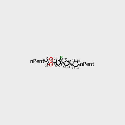 CCCCCC1COC(c2ccc(-c3ccc([C@H]4CC[C@H](CCCCC)CC4)cc3)c(F)c2)OC1